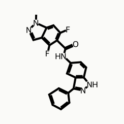 Cn1ncc2c(F)c(C(=O)Nc3ccc4[nH]nc(-c5ccccc5)c4c3)c(F)cc21